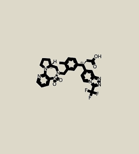 Cc1ccc([C@H](CC(=O)O)c2ccn3c(C(F)(F)F)nnc3c2)cc1CN1C[C@@H]2CCCN2c2ncccc2S1(=O)=O